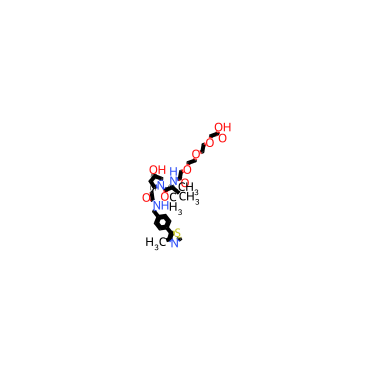 Cc1ncsc1-c1ccc(CNC2OC2[C@@H]2C[C@@H](O)CN2C(=O)[C@@H](NC(=O)COCCOCCOCC(=O)O)C(C)(C)C)cc1